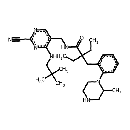 CCC(CC)(Cc1ccccc1N1CCNCC1C)C(=O)NCc1cnc(C#N)nc1NCC(C)(C)C